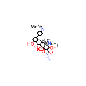 CN/C=N\c1ccc(-c2ccc(O)c3c2C[C@@H]2C[C@@H]4[C@@H](N(C)C)C(O)=C(C(N)=O)C(=O)[C@@]4(O)C(O)=C2C3=O)cc1